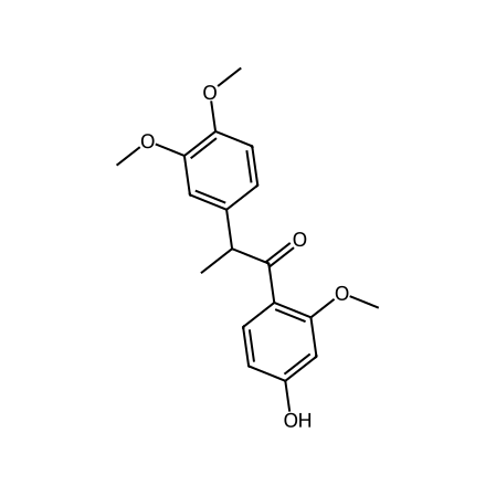 COc1ccc(C(C)C(=O)c2ccc(O)cc2OC)cc1OC